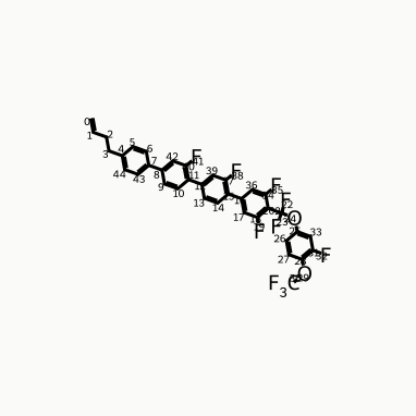 C=CCCc1ccc(-c2ccc(-c3ccc(-c4cc(F)c(C(F)(F)Oc5ccc(OC(F)(F)F)c(F)c5)c(F)c4)c(F)c3)c(F)c2)cc1